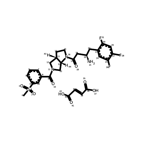 CS(=O)(=O)c1cccc(C(=O)N2C[C@@H]3CCN(C(=O)C[C@H](N)Cc4cc(F)c(F)cc4F)[C@@H]3C2)c1.O=C(O)/C=C/C(=O)O